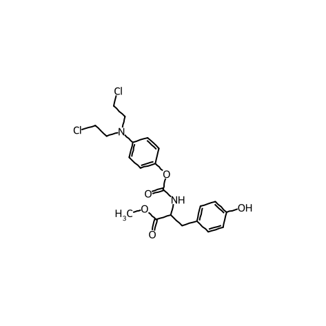 COC(=O)C(Cc1ccc(O)cc1)NC(=O)Oc1ccc(N(CCCl)CCCl)cc1